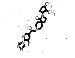 C=C1CCC(N2CCC3(CCN(CC(O)c4cnc(-n5cnnn5)c(F)c4)CC3)C2=O)=C1C